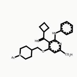 CC(=O)N1CCC(COc2cc(C(=O)O)nc(Nc3ccccc3)c2C(=N)C2CCC2)CC1